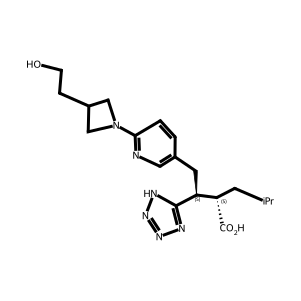 CC(C)C[C@H](C(=O)O)[C@H](Cc1ccc(N2CC(CCO)C2)nc1)c1nnn[nH]1